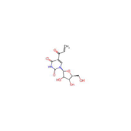 C=CC(=O)c1cn([C@H]2O[C@@H](CO)C(O)C2O)c(=O)[nH]c1=O